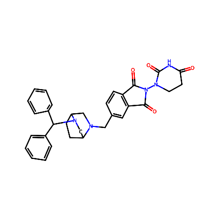 O=C1CCN(N2C(=O)c3ccc(CN4CC5CCC4CN5C(c4ccccc4)c4ccccc4)cc3C2=O)C(=O)N1